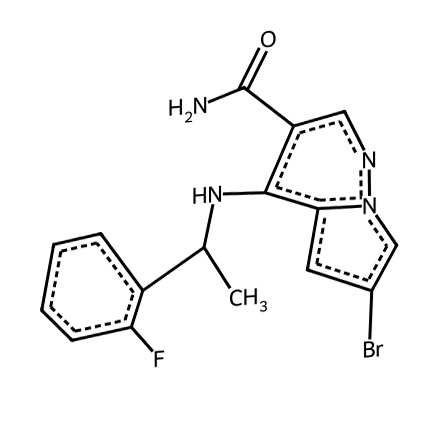 CC(Nc1c(C(N)=O)cnn2cc(Br)cc12)c1ccccc1F